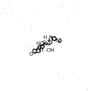 C[C@]12CCC(=O)C=C1CC[C@@H]1C2=CC[C@@]2(C)[C@H]1CC[C@]2(O)C(=O)CN1CCN(c2cc(N3CCCC3)ccc2N)CC1.Cl